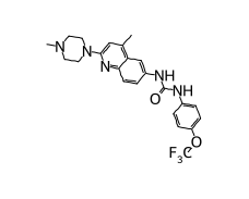 Cc1cc(N2CCN(C)CC2)nc2ccc(NC(=O)Nc3ccc(OC(F)(F)F)cc3)cc12